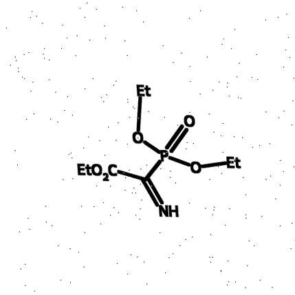 CCOC(=O)C(=N)P(=O)(OCC)OCC